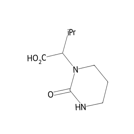 CC(C)C(C(=O)O)N1CCCNC1=O